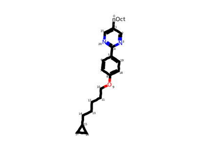 CCCCCCCCc1cnc(-c2ccc(OCCCCCC3CC3)cc2)nc1